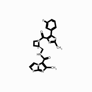 Cc1nc(C(=O)N2CC[C@@H]2CNC(=O)c2c(C)nc3sccn23)c(-c2cccc(F)c2)s1